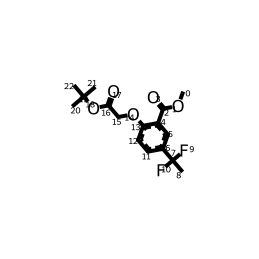 COC(=O)c1cc(C(C)(F)F)ccc1OCC(=O)OC(C)(C)C